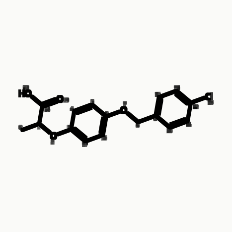 CC(Oc1ccc(OCc2ccc(Cl)cc2)cc1)C(=O)O